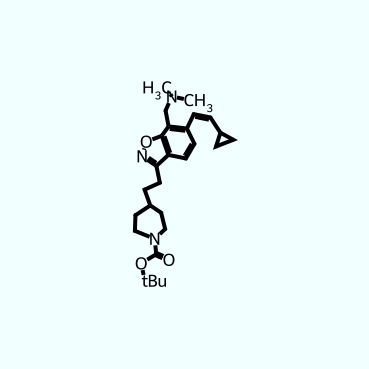 CN(C)Cc1c(/C=C\C2CC2)ccc2c(CCC3CCN(C(=O)OC(C)(C)C)CC3)noc12